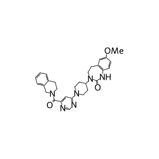 COc1ccc2c(c1)CCN(C1CCN(c3cc(C(=O)N4CCc5ccccc5C4)ncn3)CC1)C(=O)N2